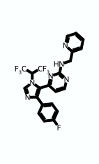 Fc1ccc(-c2ncn(C(C(F)(F)F)C(F)(F)F)c2-c2ccnc(NCc3ccccn3)n2)cc1